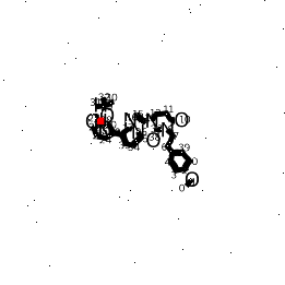 COc1ccc(CCN2C(=O)CCN(c3cnc4c(C56CNCC(C5)N6C(=O)OC(C)(C)C)cccn34)C2=O)cc1